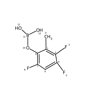 Cc1c(F)c(F)cc(F)c1OB(O)O